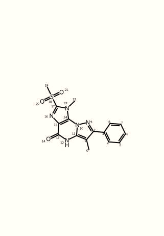 Cc1c(-c2ccccc2)nn2c1[nH]c(=O)c1nc(S(C)(=O)=O)n(C)c12